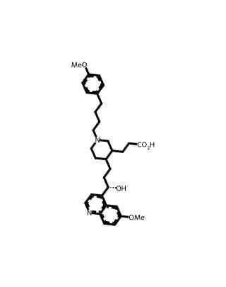 COc1ccc(CCCCN2CCC(CC[C@H](O)c3ccnc4ccc(OC)cc34)C(CCC(=O)O)C2)cc1